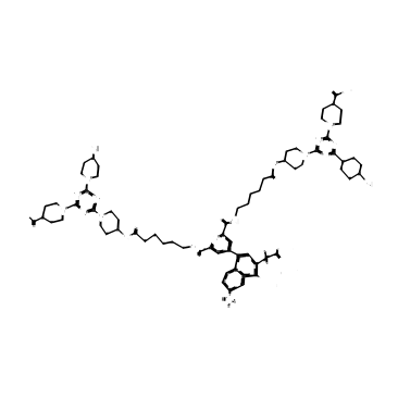 C=C(C)C(C)(C)c1cc(-c2cc(C(=O)NCCCCCC(=O)NC3CCN(c4nc(C5CCC(N)CC5)nc(N5CCC(C(=O)O)CC5)n4)CC3)nc(C(=O)NCCCCCC(=O)NC3CCN(c4nc(N5CCC(N)CC5)nc(N5CCC(C(=O)O)CC5)n4)CC3)c2)c2ccc(S(=O)(=O)O)cc2c1C